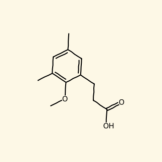 COc1c(C)cc(C)cc1CCC(=O)O